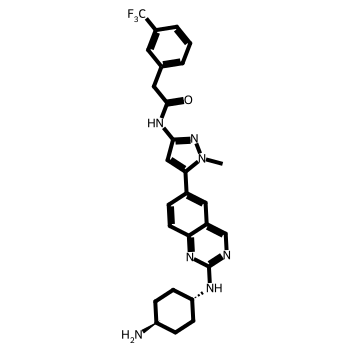 Cn1nc(NC(=O)Cc2cccc(C(F)(F)F)c2)cc1-c1ccc2nc(N[C@H]3CC[C@H](N)CC3)ncc2c1